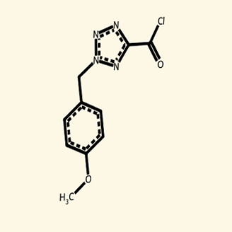 COc1ccc(Cn2nnc(C(=O)Cl)n2)cc1